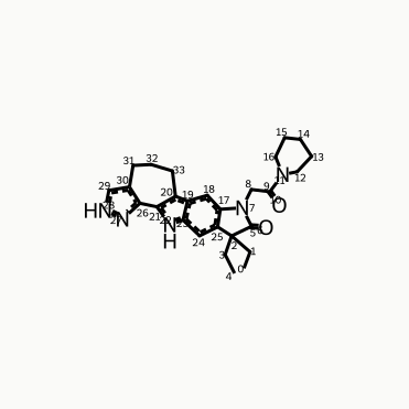 CCC1(CC)C(=O)N(CC(=O)N2CCCCC2)c2cc3c4c([nH]c3cc21)-c1n[nH]cc1CCC4